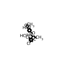 CN(C)CC(NC(=O)c1ccc(NS(C)(=O)=O)cc1)c1ccc(Cl)cc1Cl.Cl